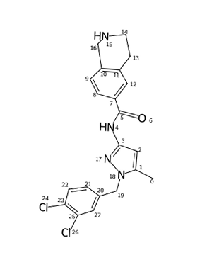 Cc1cc(NC(=O)c2ccc3c(c2)CCNC3)nn1Cc1ccc(Cl)c(Cl)c1